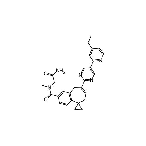 CCc1ccnc(-c2cnc(C3=CCC4(CC4)c4ccc(C(=O)N(C)CC(N)=O)cc4C3)nc2)c1